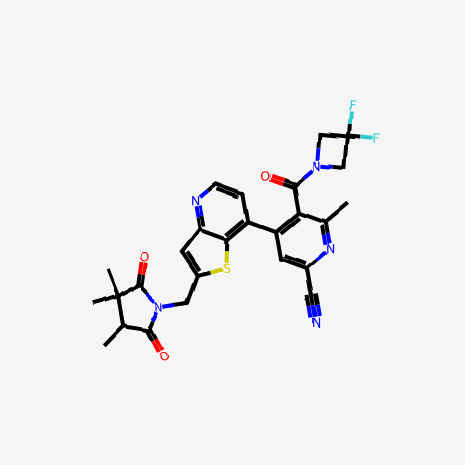 Cc1nc(C#N)cc(-c2ccnc3cc(CN4C(=O)C(C)C(C)(C)C4=O)sc23)c1C(=O)N1CC(F)(F)C1